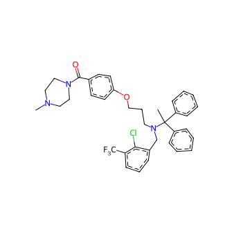 CN1CCN(C(=O)c2ccc(OCCCN(Cc3cccc(C(F)(F)F)c3Cl)C(C)(c3ccccc3)c3ccccc3)cc2)CC1